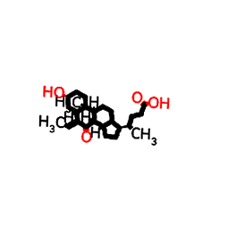 C/C=C1/C(=O)[C@H]2[C@@H]3CC[C@H](C(C)CCC(=O)O)C3CC[C@@H]2[C@@]2(C)CC[C@@H](O)C[C@@H]12